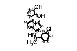 CC(Nc1nccn2c([C@@H]3SC[C@@H](O)[C@H]3O)cnc12)c1cccc(Cl)c1